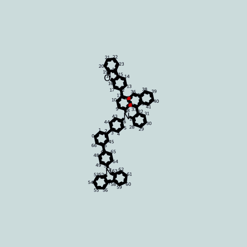 c1cc(-c2ccc(N(c3ccc(-c4ccc5c(c4)oc4ccccc45)cc3)c3ccccc3-c3cccc4ccccc34)cc2)cc(-c2ccc(-n3c4ccccc4c4ccccc43)cc2)c1